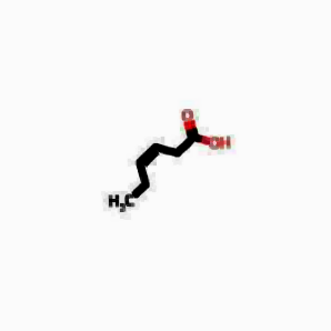 CC/C=C\CC(=O)O